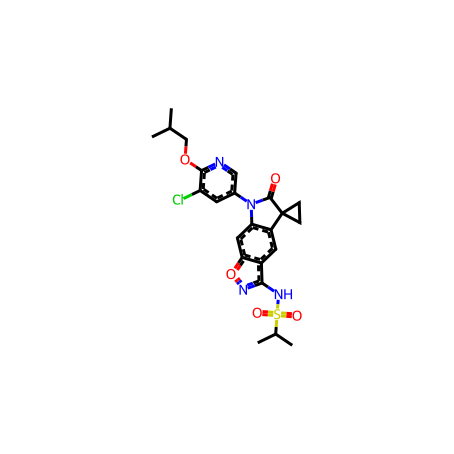 CC(C)COc1ncc(N2C(=O)C3(CC3)c3cc4c(NS(=O)(=O)C(C)C)noc4cc32)cc1Cl